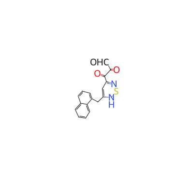 O=CC(=O)C(=O)C1=NSNC(Cc2cccc3ccccc23)=C1